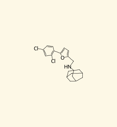 Clc1ccc(-c2ccc(CNC34CC5CC(CC(C5)C3)C4)o2)c(Cl)c1